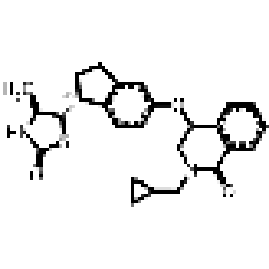 C=C1NC(=O)SC1[C@@H]1CCc2cc(OC3CN(CC4CC4)C(=O)c4ccccc43)ccc21